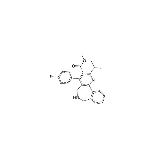 COC(=O)c1c(C(C)C)nc2c(c1-c1ccc(F)cc1)CNCc1ccccc1-2